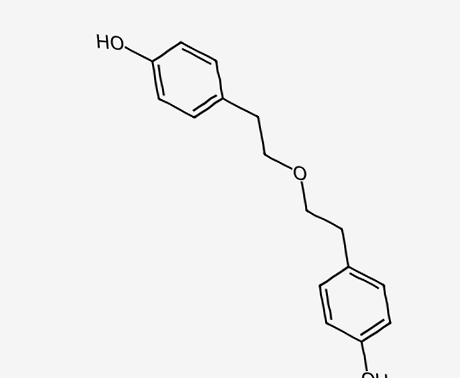 Oc1ccc(CCOCCc2ccc(O)cc2)cc1